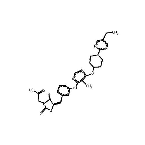 CCc1cnc(N2CCC(Oc3ncnc(Oc4cccc(C=C5SC(=O)N(CC(C)=O)C5=O)c4)c3C)CC2)nc1